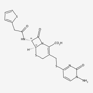 Nn1ccc(SCC2=C(C(=O)O)N3C(=O)[C@@H](NC(=O)Cc4cccs4)[C@@H]3SC2)nc1=O